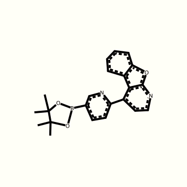 CC1(C)OB(c2ccc(-c3ccnc4oc5ccccc5c34)nc2)OC1(C)C